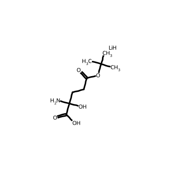 CC(C)(C)OC(=O)CCC(N)(O)C(=O)O.[LiH]